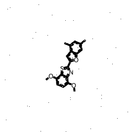 COc1ccc(OC)c2sc(-c3cc4c(C)cc(C)cc4o3)nc12